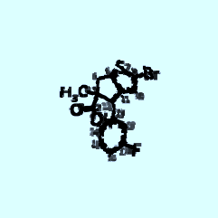 CC1(C(=O)O)Cc2sc(Br)cc2C1c1cccc(F)c1